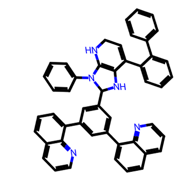 C1=C(c2ccccc2-c2ccccc2)C2=C(NC1)N(c1ccccc1)C(c1cc(-c3cccc4cccnc34)cc(-c3cccc4cccnc34)c1)N2